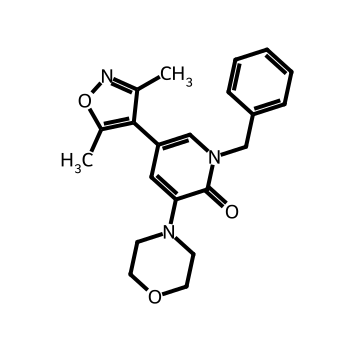 Cc1noc(C)c1-c1cc(N2CCOCC2)c(=O)n(Cc2ccccc2)c1